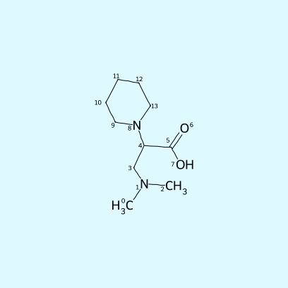 CN(C)CC(C(=O)O)N1CCCCC1